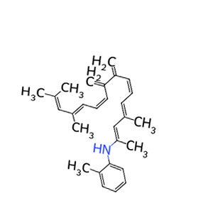 C=C(/C=C\C=C(/C)C=C(C)C)C(=C)\C=C/C=C(C)/C=C(\C)Nc1ccccc1C